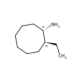 CC[C@H]1CCCCCC[C@@H]1N